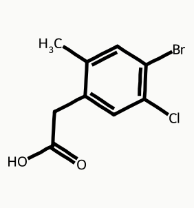 Cc1cc(Br)c(Cl)cc1CC(=O)O